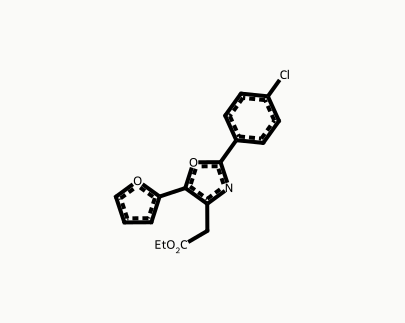 CCOC(=O)Cc1nc(-c2ccc(Cl)cc2)oc1-c1ccco1